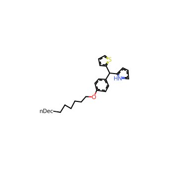 CCCCCCCCCCCCCCCCOc1ccc(C(c2ccc[nH]2)c2cccs2)cc1